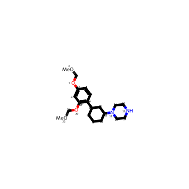 COCOc1ccc(C2CCCC(N3CCNCC3)C2)c(OCOC)c1